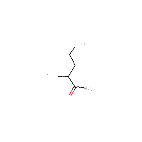 CNC(=O)C(CCC(=O)O)NC(C)=O